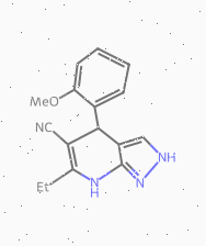 CCC1=C(C#N)C(c2ccccc2OC)c2c[nH]nc2N1